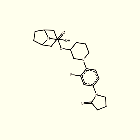 O=C1CCCN1c1ccc(N2CCCC(OC(=O)N3C4CCC3CC(O)C4)C2)c(F)c1